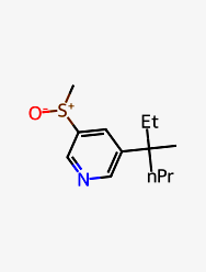 CCCC(C)(CC)c1cncc([S+](C)[O-])c1